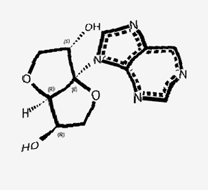 O[C@@H]1CO[C@@]2(n3cnc4cncnc43)[C@@H]1OC[C@@H]2O